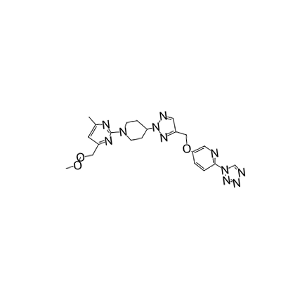 COOCc1cc(C)nc(N2CCC(n3ncc(COc4ccc(-n5cnnn5)nc4)n3)CC2)n1